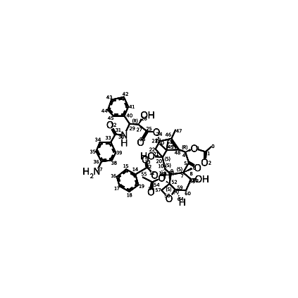 CC(=O)O[C@H]1C(=O)[C@@]2(C)[C@H]([C@H](OC(=O)c3ccccc3)[C@]3(O)C[C@H](OC(=O)[C@H](O)C(NC(=O)c4ccc(N)cc4)c4ccccc4)C(C)=C1C3(C)C)[C@]1(OC(C)=O)CO[C@@H]1C[C@@H]2O